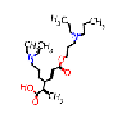 C=C(C(=O)O)C(C=CC(=O)OCCCN(CCC)CCC)CCCN(CC)CC